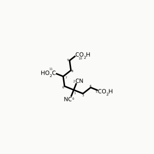 N#CC(C#N)(CCC(=O)O)CC(CCC(=O)O)C(=O)O